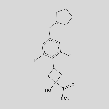 CNC(=O)C1(O)CC(c2c(F)cc(CN3CCCC3)cc2F)C1